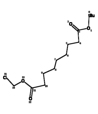 CC(C)(C)OC(=O)CCCCCCCC(=O)OCCl